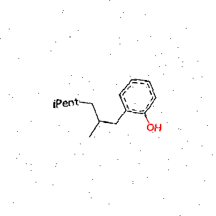 CCCC(C)CC(C)Cc1ccccc1O